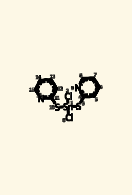 [Cl][Sn]([Cl])([S]c1ccccn1)[S]c1ccccn1